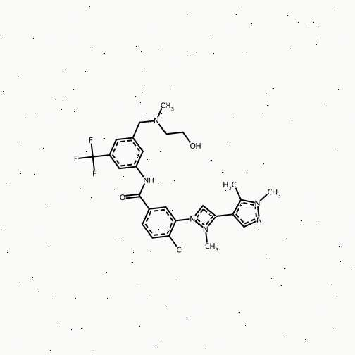 Cc1c(-c2cn(-c3cc(C(=O)Nc4cc(CN(C)CCO)cc(C(F)(F)F)c4)ccc3Cl)n2C)cnn1C